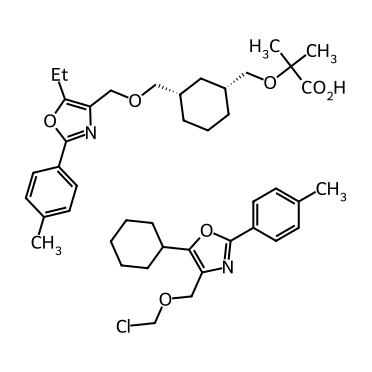 CCc1oc(-c2ccc(C)cc2)nc1COC[C@H]1CCC[C@@H](COC(C)(C)C(=O)O)C1.Cc1ccc(-c2nc(COCCl)c(C3CCCCC3)o2)cc1